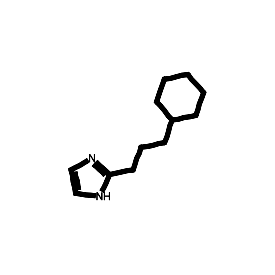 c1c[nH]c(CCCC2CCCCC2)n1